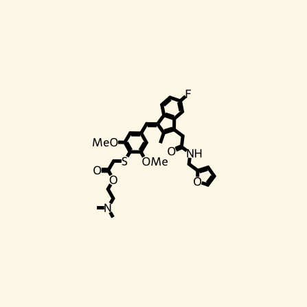 COc1cc(C=C2C(C)=C(CC(=O)NCc3ccco3)c3cc(F)ccc32)cc(OC)c1SCC(=O)OCCN(C)C